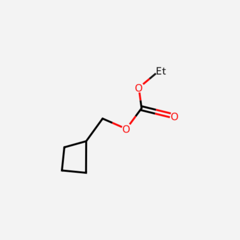 CCOC(=O)OCC1CCC1